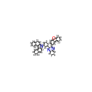 c1cc(-c2nc3ccccc3nc2-c2ccc3oc4ccccc4c3c2)cc(-n2c3ccc4ccccc4c3c3c4ccccc4ccc32)c1